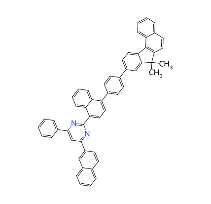 CC1(C)c2cc(-c3ccc(-c4ccc(-c5nc(-c6ccccc6)cc(-c6ccc7ccccc7c6)n5)c5ccccc45)cc3)ccc2-c2c1ccc1ccccc21